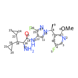 COc1ncc(F)cc1[C@H](C)n1cc(NC(=O)[C@@H](N)C(C2CC2)C2CC2)c(F)n1